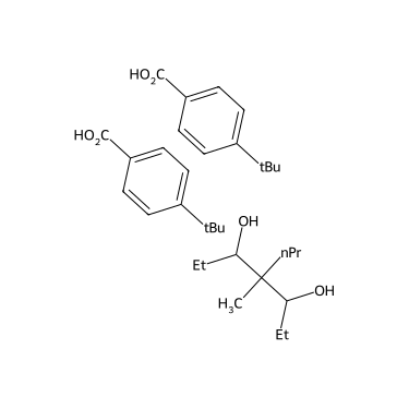 CC(C)(C)c1ccc(C(=O)O)cc1.CC(C)(C)c1ccc(C(=O)O)cc1.CCCC(C)(C(O)CC)C(O)CC